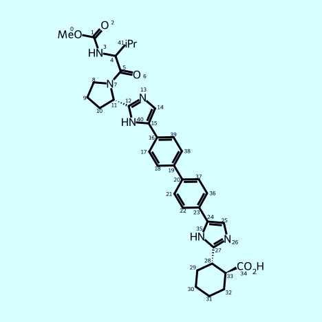 COC(=O)NC(C(=O)N1CCC[C@H]1c1ncc(-c2ccc(-c3ccc(-c4cnc([C@H]5CCCC[C@@H]5C(=O)O)[nH]4)cc3)cc2)[nH]1)C(C)C